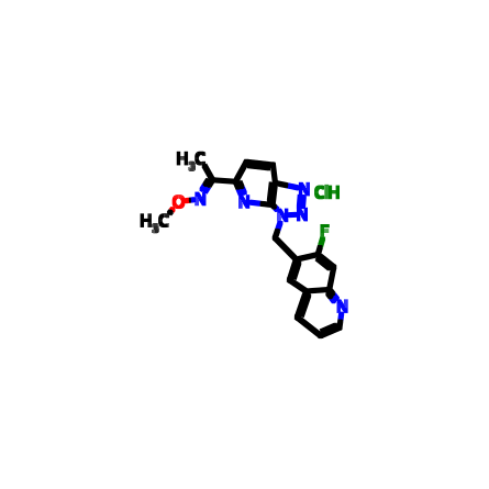 CON=C(C)c1ccc2nnn(Cc3cc4cccnc4cc3F)c2n1.Cl